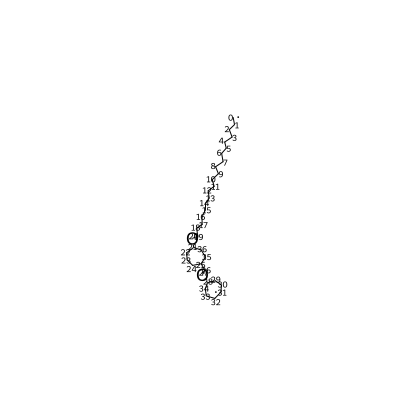 [CH2]CCCCCCCCCCCCCCCCCCCOC1CCCC(COC2CC[CH]CCC2)CC1